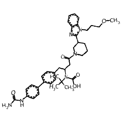 COCCCn1c(C2CCCN(C(=O)CC(Cc3ccc(-c4ccc(NC(N)=O)cc4)cc3)N(C(=O)O)C(C)(C)C)C2)nc2ccccc21